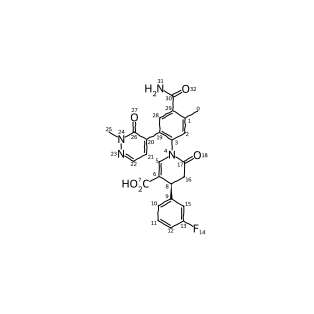 Cc1cc(N2C=C(C(=O)O)[C@H](c3cccc(F)c3)CC2=O)c(-c2ccnn(C)c2=O)cc1C(N)=O